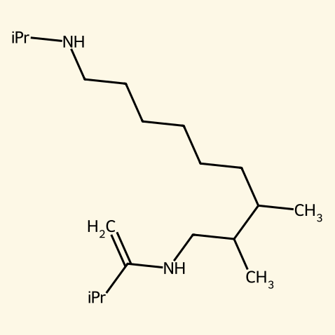 C=C(NCC(C)C(C)CCCCCCNC(C)C)C(C)C